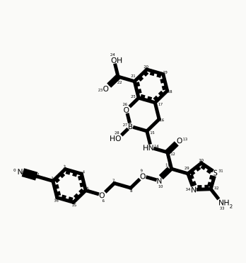 N#Cc1ccc(OCCON=C(C(=O)NC2Cc3cccc(C(=O)O)c3OB2O)c2csc(N)n2)cc1